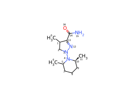 CC1CN(N2C(C)CCC[C@@H]2C)N=C1C(N)=O